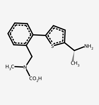 C[C@@H](N)c1ccc(-c2ccccc2CN(C)C(=O)O)s1